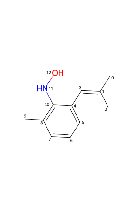 CC(C)=Cc1cccc(C)c1NO